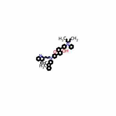 C=C/C=C(\C=CC)N(c1ccccc1)c1ccc(C2=CC=C3Oc4cc(N(/C=C/C=C(/C#N)C=C(C)c5ccccc5)c5ccc6c(c5)C(C)(C)c5ccccc5-6)ccc4C4=CC=CC2C34)c(O)c1